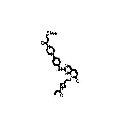 C=CC(=O)N1CC(CCn2c(=O)ccc3cnc(Nc4ccc(N5CCN(C(=O)CCSC)CC5)cc4)nc32)C1